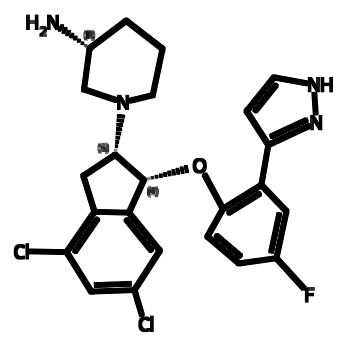 N[C@@H]1CCCN([C@H]2Cc3c(Cl)cc(Cl)cc3[C@H]2Oc2ccc(F)cc2-c2cc[nH]n2)C1